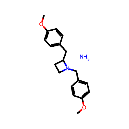 COc1ccc(CC2CCN2Cc2ccc(OC)cc2)cc1.N